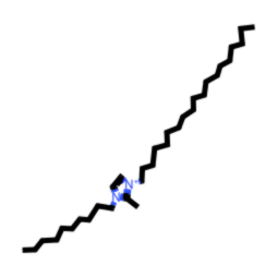 CCCCCCCCCCCCCCCCCCC[n+]1ccn(CCCCCCCCCC)c1C